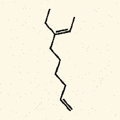 C=CCCCCC(=CC)CC